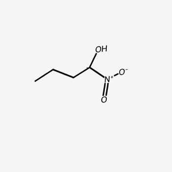 CCC[C](O)[N+](=O)[O-]